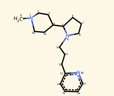 CN1CCC(C2CCCN2CCCc2ccccn2)CC1